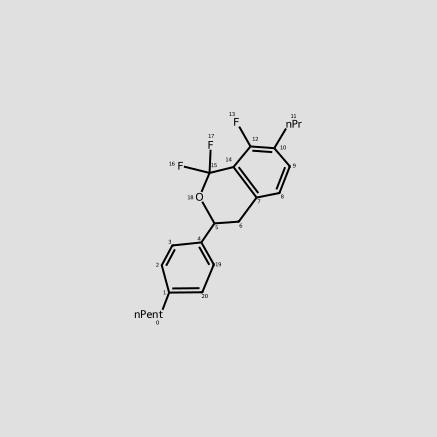 CCCCCc1ccc(C2Cc3ccc(CCC)c(F)c3C(F)(F)O2)cc1